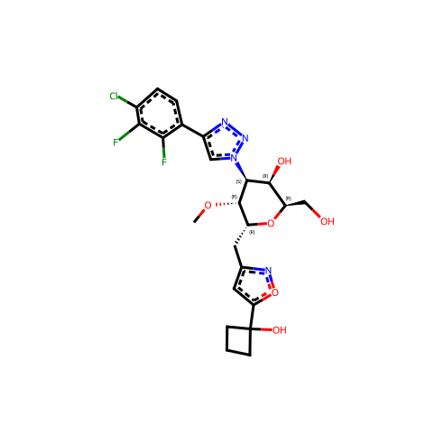 CO[C@@H]1[C@@H](n2cc(-c3ccc(Cl)c(F)c3F)nn2)[C@@H](O)[C@@H](CO)O[C@@H]1Cc1cc(C2(O)CCC2)on1